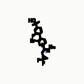 C=N/N=C(/CC1CC1(F)F)N1C=CC(c2ccc(C(C)(C)O)cc2F)=C(Br)C1